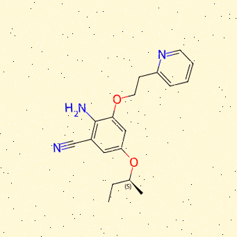 CC[C@H](C)Oc1cc(C#N)c(N)c(OCCc2ccccn2)c1